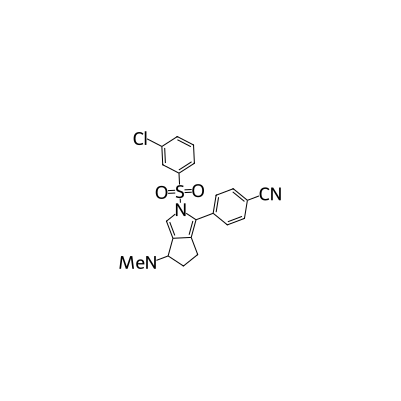 CNC1CCc2c1cn(S(=O)(=O)c1cccc(Cl)c1)c2-c1ccc(C#N)cc1